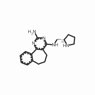 Nc1nc(NC[C@@H]2CCCN2)c2c(n1)-c1ccccc1CCC2